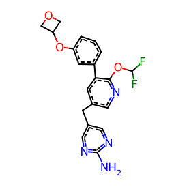 Nc1ncc(Cc2cnc(OC(F)F)c(-c3cccc(OC4COC4)c3)c2)cn1